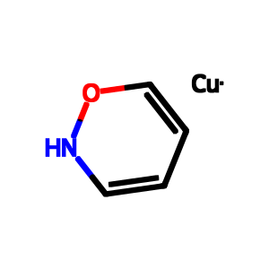 C1=CNOC=C1.[Cu]